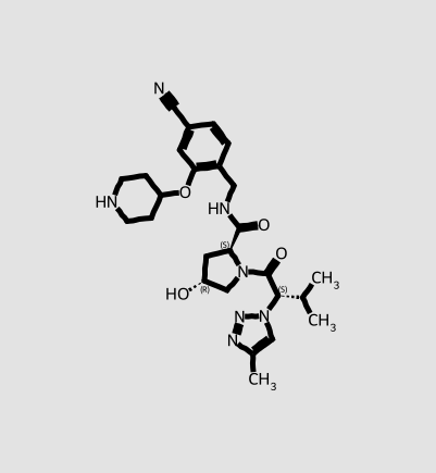 Cc1cn([C@H](C(=O)N2C[C@H](O)C[C@H]2C(=O)NCc2ccc(C#N)cc2OC2CCNCC2)C(C)C)nn1